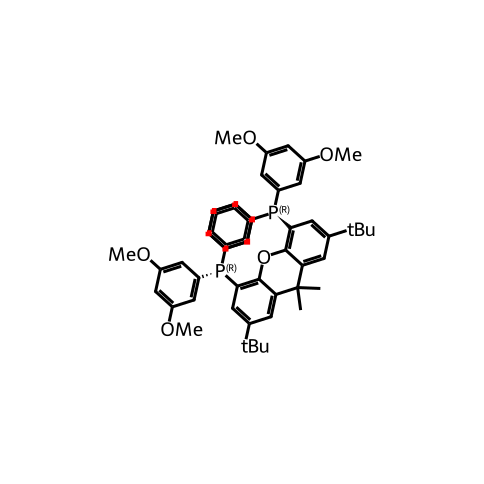 COc1cc(OC)cc([P@](c2ccccc2)c2cc(C(C)(C)C)cc3c2Oc2c([P@@](c4ccccc4)c4cc(OC)cc(OC)c4)cc(C(C)(C)C)cc2C3(C)C)c1